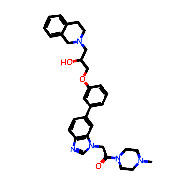 CN1CCN(C(=O)Cn2cnc3ccc(-c4cccc(OCC(O)CN5CCc6ccccc6C5)c4)cc32)CC1